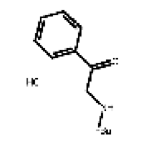 CCCCNCC(=O)c1ccccc1.Cl